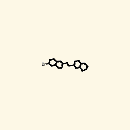 Brc1ccc2cc(/C=C/c3ccc4ccccc4c3)ccc2c1